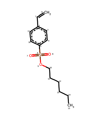 C=Cc1ccc(S(=O)(=O)OCCCCCC)cc1